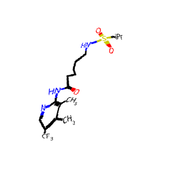 Cc1c(C(F)(F)F)cnc(NC(=O)CCCCNS(=O)(=O)C(C)C)c1C